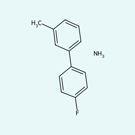 Cc1cccc(-c2ccc(F)cc2)c1.N